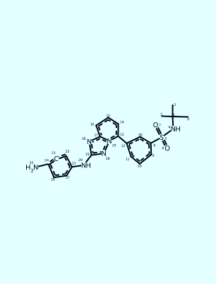 CC(C)(C)NS(=O)(=O)c1cccc(-c2cccc3nc(Nc4ccc(N)cc4)nn23)c1